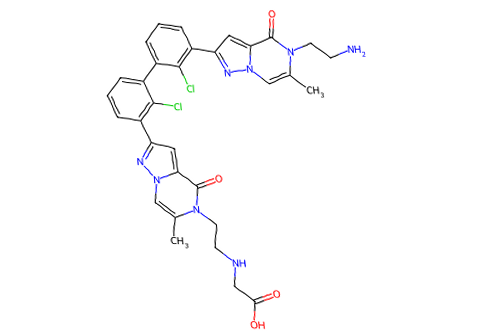 Cc1cn2nc(-c3cccc(-c4cccc(-c5cc6c(=O)n(CCNCC(=O)O)c(C)cn6n5)c4Cl)c3Cl)cc2c(=O)n1CCN